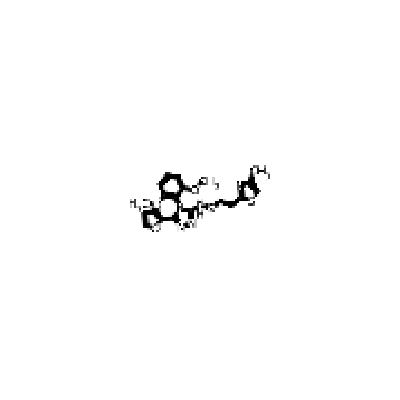 COc1cccc(OC)c1-n1c(NSCCc2nc(C)cs2)nnc1-c1ccco1